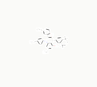 CC(C)(C)c1ccc(N2c3cc(C(C)(C)C)cc4c3B(c3ccc5c(c3O4)C(C)(C)CCC5(C)C)c3oc4ccc(C(C)(C)C)cc4c32)cc1